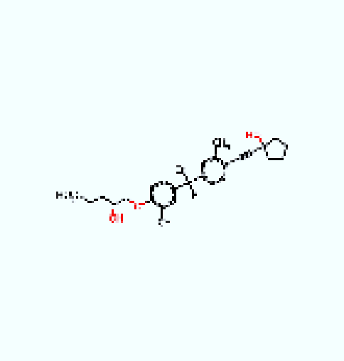 CCC(CC)(c1ccc(C#CC2(O)CCCC2)c(C)c1)c1ccc(OC[C@@H](O)CCC(=O)O)c(C)c1